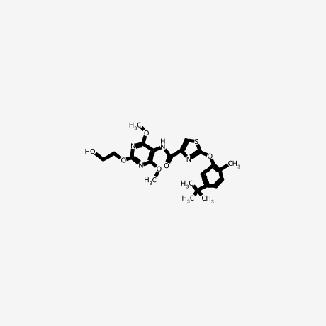 COc1nc(OCCO)nc(OC)c1NC(=O)c1csc(Oc2cc(C(C)(C)C)ccc2C)n1